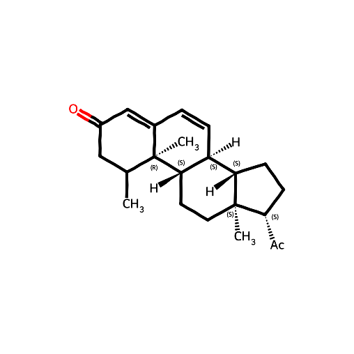 CC(=O)[C@H]1CC[C@H]2[C@@H]3C=CC4=CC(=O)CC(C)[C@]4(C)[C@H]3CC[C@]12C